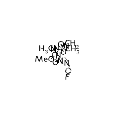 COc1cc2c(nc1C(=O)N1CCCN(Cc3ccc(F)cc3)CC1)c(C(=O)C(=O)N(C)C)nn2C